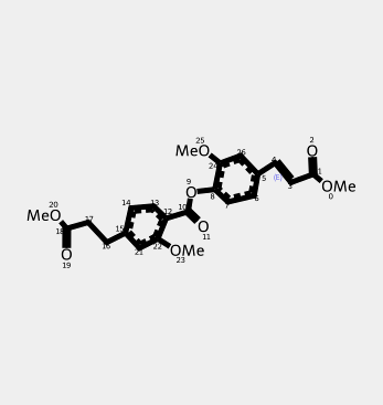 COC(=O)/C=C/c1ccc(OC(=O)c2ccc(CCC(=O)OC)cc2OC)c(OC)c1